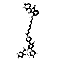 C[C@@H]1CN(c2cc(F)c(C3=CCN(C(=O)CCCCCCCNc4cccc5c4C(=O)N(C4CCC(=O)NC4=O)C5=O)CC3)cc2NC(=O)c2c[nH]c(=O)cc2C(F)(F)F)C[C@H](C)N1C